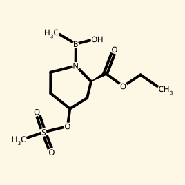 CCOC(=O)[C@H]1CC(OS(C)(=O)=O)CCN1B(C)O